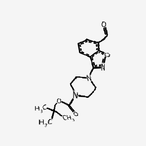 CC(C)(C)OC(=O)N1CCN(c2noc3c(C=O)cccc23)CC1